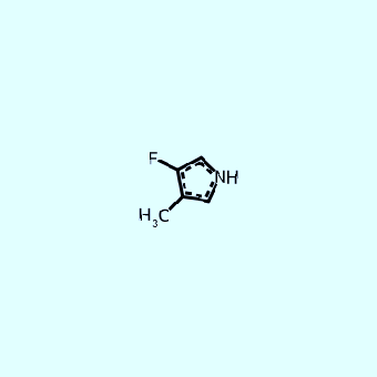 Cc1c[nH]cc1F